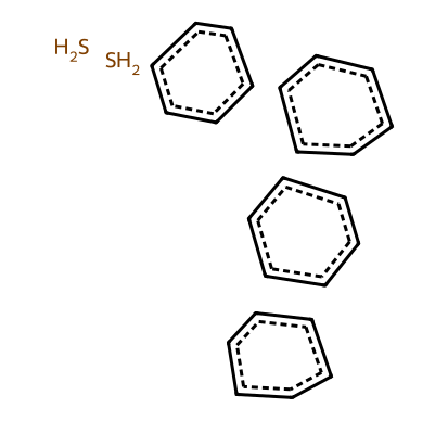 S.S.c1ccccc1.c1ccccc1.c1ccccc1.c1ccccc1